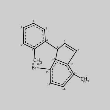 Cc1ccccc1C1C=Cc2c(C)ccc(Br)c21